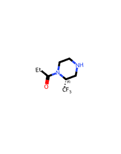 CCC(=O)N1CCNC[C@@H]1C(F)(F)F